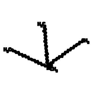 CCCCCCCCCCCCCCCCCCCCCCCc1nc(C)nc(CCCCCCCCCCCCCCCCCCCCCCC)c1CCCCCCCCCCCCCCCCCCCCCCC